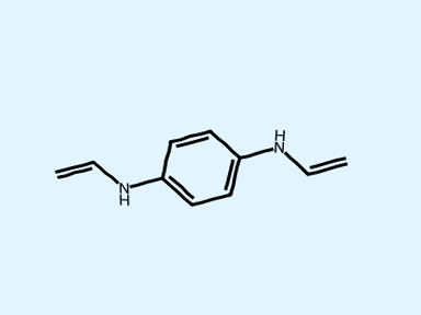 C=CNc1ccc(NC=C)cc1